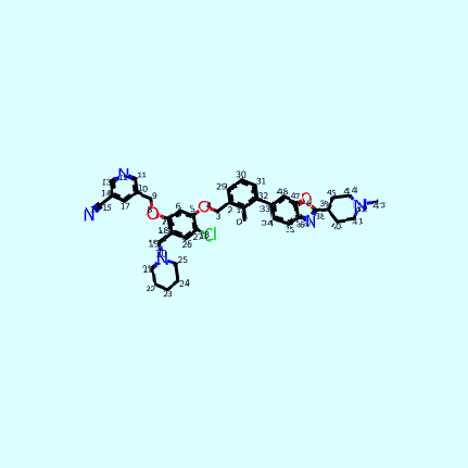 Cc1c(COc2cc(OCc3cncc(C#N)c3)c(CN3CCCCC3)cc2Cl)cccc1-c1ccc2nc(C3CCN(C)CC3)oc2c1